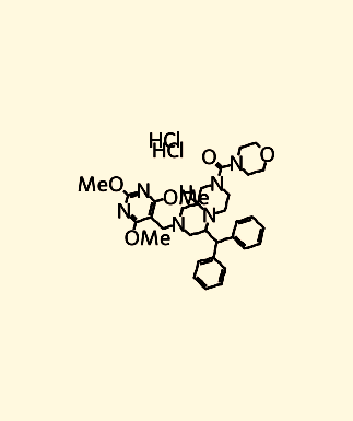 COc1nc(OC)c(CN2CC(C(c3ccccc3)c3ccccc3)N3CCN(C(=O)N4CCOCC4)C[C@H]3C2)c(OC)n1.Cl.Cl